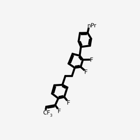 CCCc1ccc(-c2ccc(CCc3ccc(/C(F)=C/C(F)(F)F)c(F)c3)c(F)c2F)cc1